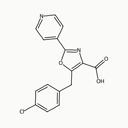 O=C(O)c1nc(-c2ccncc2)oc1Cc1ccc(Cl)cc1